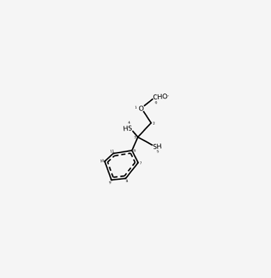 O=[C]OCC(S)(S)c1ccccc1